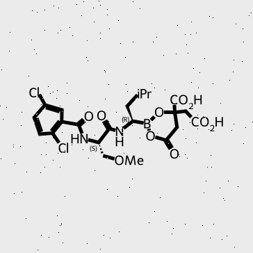 COC[C@H](NC(=O)c1cc(Cl)ccc1Cl)C(=O)N[C@@H](CC(C)C)B1OC(=O)CC(CC(=O)O)(C(=O)O)O1